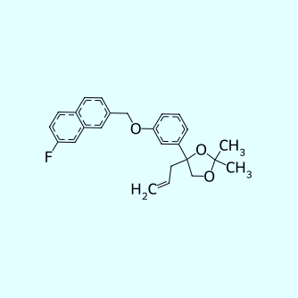 C=CCC1(c2cccc(OCc3ccc4ccc(F)cc4c3)c2)COC(C)(C)O1